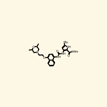 CNC(=O)c1[nH]c(C(C)(C)C)cc1NC(=O)Nc1ccc(OCCN2CC(C)OC(C)C2)c2ccccc12